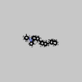 c1ccc(-n2c3ccccc3c3c4cc(-c5ccc6ccc(-c7ccc8ccccc8c7)cc6c5)ccc4ccc32)cc1